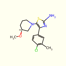 CO[C@H]1CCCN(c2sc(N)nc2-c2ccc(Cl)c(C)c2)C1